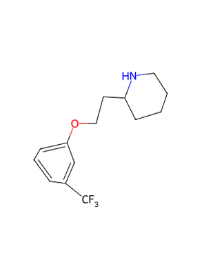 FC(F)(F)c1cccc(OCCC2CCCCN2)c1